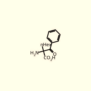 CCCCCCC(N)(C(=O)O)C(=O)c1ccccc1